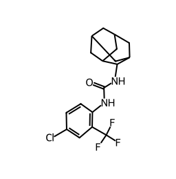 O=C(Nc1ccc(Cl)cc1C(F)(F)F)NC1C2CC3CC(C2)CC1C3